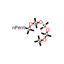 [CH2]CCCC[Si](C)(C)O[Si](C)(C)O[Si](C)(C)O[Si](C)(C)O[Si](C)(C)C